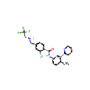 Cc1ccc(NC(=O)c2ccc(CNCC(F)(F)F)cc2Cl)cc1-c1ccccn1